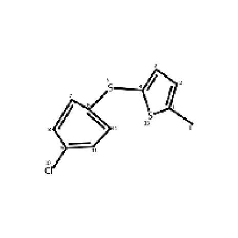 Cc1ccc(Sc2ccc(Cl)cc2)s1